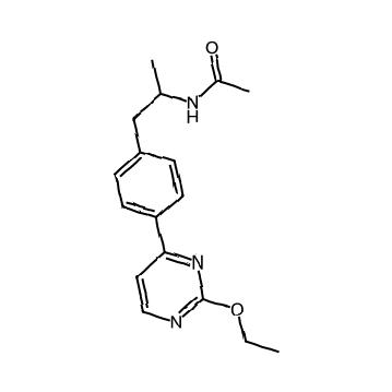 CCOc1nccc(-c2ccc(CC(C)NC(C)=O)cc2)n1